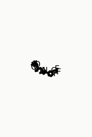 C=C/C(=C\n1nc(-c2cccc(OC(F)(F)F)c2)cc1C)B1OC(C)(C)C(C)(C)O1